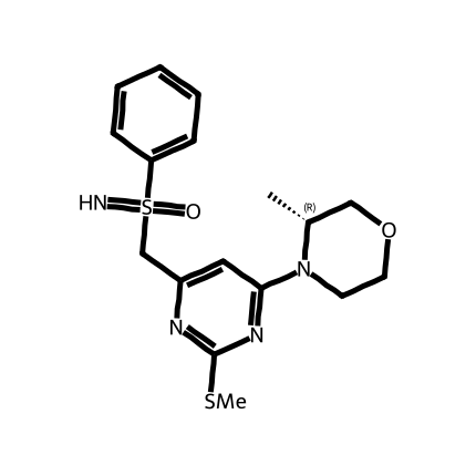 CSc1nc(CS(=N)(=O)c2ccccc2)cc(N2CCOC[C@H]2C)n1